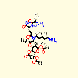 CCC(=O)OC[C@H]1O[C@H](OC(=O)CC)[C@H](NC(C)=O)[C@@H](OC(C)CN(C(=O)CC[C@@H](NC(=O)[C@H](C)N)C(N)=O)[C@@H](CCCCN)C(=O)O)[C@@H]1OC(=O)CC